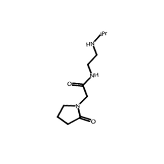 CC(C)NCCNC(=O)CN1CCCC1=O